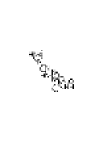 C[C@@H]1CN(c2ccc(Nc3ncc4cc5n(c4n3)C3(CCCCC3)CNC5=O)nc2)CCN1